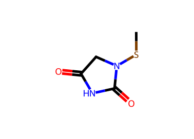 CSN1CC(=O)NC1=O